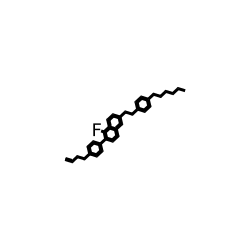 C=CCCc1ccc(-c2ccc3cc(CCc4ccc(CCCCCC)cc4)ccc3c2F)cc1